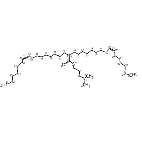 CN(C)CCCSC(=O)N(CCCCCCCC/C=C\CCCCCC=O)CCCCCCCC/C=C\CCCCCC=O